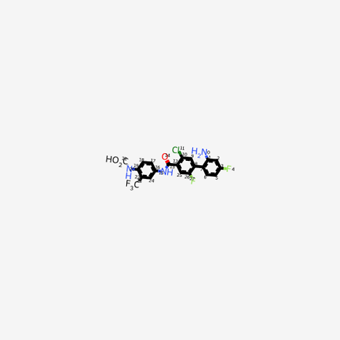 Nc1cc(F)ccc1-c1cc(Cl)c(C(=O)Nc2ccc(NC(=O)O)c(C(F)(F)F)c2)cc1F